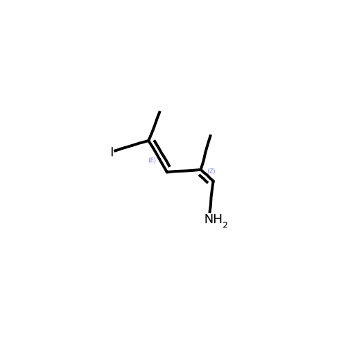 CC(=C/N)/C=C(\C)I